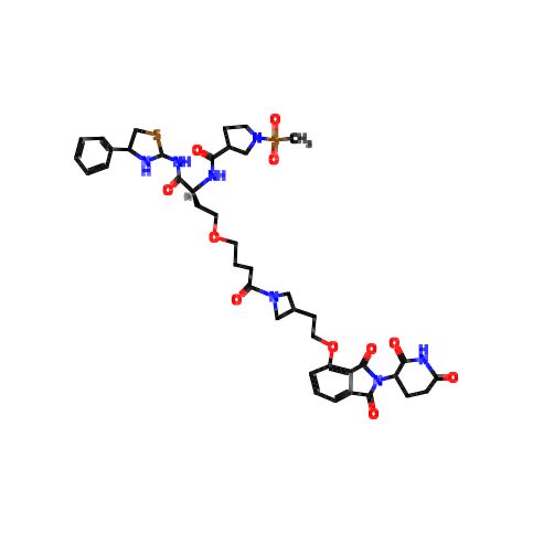 CS(=O)(=O)N1CCC(C(=O)N[C@@H](CCOCCCC(=O)N2CC(CCOc3cccc4c3C(=O)N(C3CCC(=O)NC3=O)C4=O)C2)C(=O)NC2NC(c3ccccc3)CS2)C1